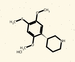 COc1cc([C@H]2CCCNC2)c(OC)cc1SC.Cl